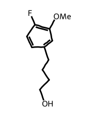 COc1cc(CCCCO)ccc1F